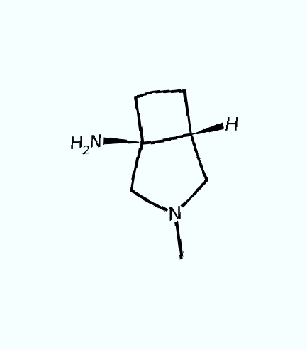 CN1C[C@H]2CC[C@@]2(N)C1